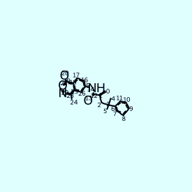 C=C(CC(C)(C)c1ccccc1)C(=O)Nc1ccc2c(=O)onc(C)c2c1